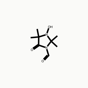 CC1(C)C(=O)N(C=O)C(C)(C)N1O